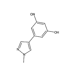 Cn1cc(-c2cc(O)cc(N=O)c2)cn1